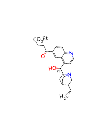 C=CC1CN2CCC1CC2[C@@H](O)c1ccnc2ccc(C(=O)CCC(=O)OCC)cc12